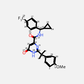 COc1ccc(C(C)(C)c2nc(C(=O)N[C@@H](c3ccc(C(F)(F)F)cc3)C3CC3)cc(=O)[nH]2)cc1